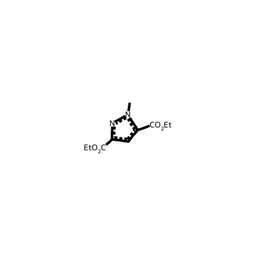 CCOC(=O)c1cc(C(=O)OCC)n(C)n1